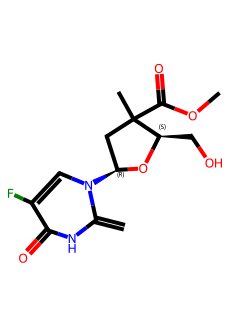 C=C1NC(=O)C(F)=CN1[C@H]1CC(C)(C(=O)OC)[C@@H](CO)O1